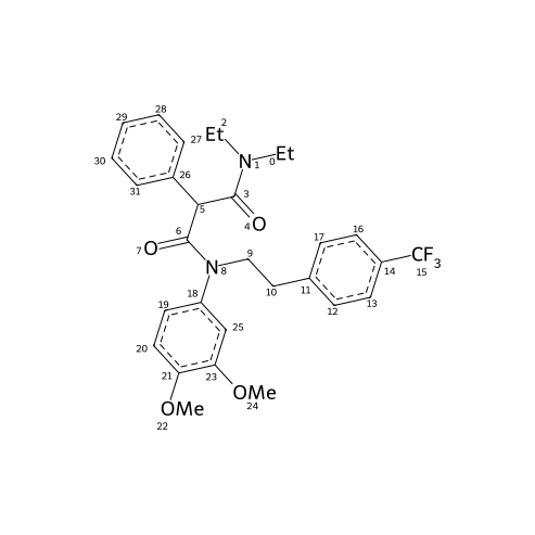 CCN(CC)C(=O)C(C(=O)N(CCc1ccc(C(F)(F)F)cc1)c1ccc(OC)c(OC)c1)c1ccccc1